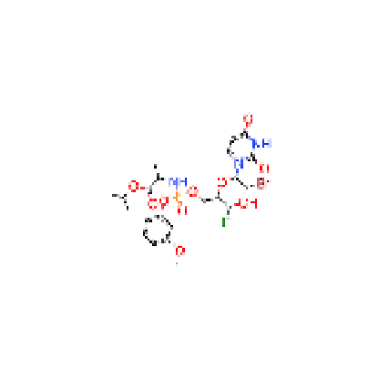 COc1cccc(OP(=O)(NC(C)C(=O)OC(C)C)OC[C@@H](OC(CBr)n2ccc(=O)[nH]c2=O)[C@@H](O)Cl)c1